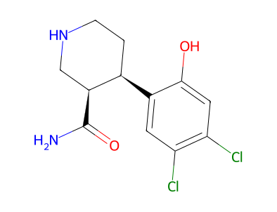 NC(=O)[C@H]1CNCC[C@H]1c1cc(Cl)c(Cl)cc1O